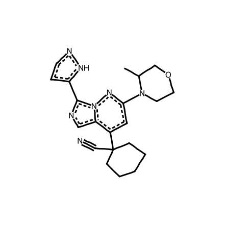 CC1COCCN1c1cc(C2(C#N)CCCCC2)c2cnc(-c3ccn[nH]3)n2n1